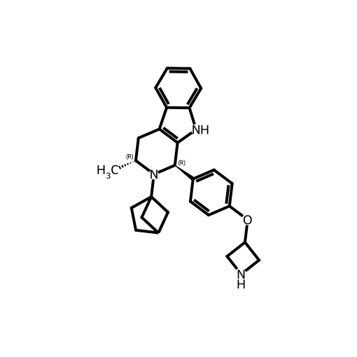 C[C@@H]1Cc2c([nH]c3ccccc23)[C@@H](c2ccc(OC3CNC3)cc2)N1C12CCC(C1)C2